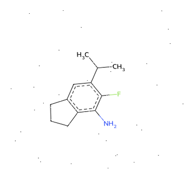 CC(C)c1cc2c(c(N)c1F)CCC2